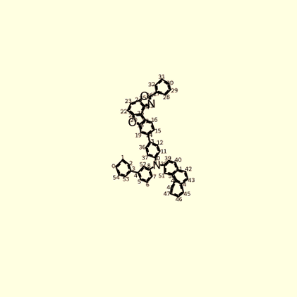 c1ccc(-c2cccc(N(c3ccc(-c4ccc5c(c4)oc4ccc6oc(-c7ccccc7)nc6c45)cc3)c3ccc4ccc5ccccc5c4c3)c2)cc1